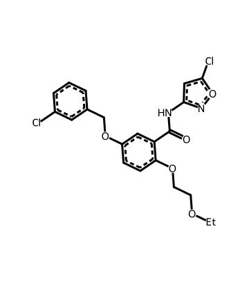 CCOCCOc1ccc(OCc2cccc(Cl)c2)cc1C(=O)Nc1cc(Cl)on1